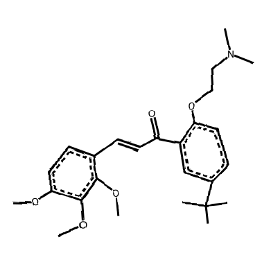 COc1ccc(C=CC(=O)c2cc(C(C)(C)C)ccc2OCCN(C)C)c(OC)c1OC